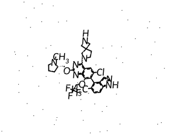 Cc1ccc2[nH]ncc2c1-c1c(Cl)cc2c(N3CCC4(CNC4)C3)nc(OC[C@@H]3CCCN3C)nc2c1OCC(F)(F)F